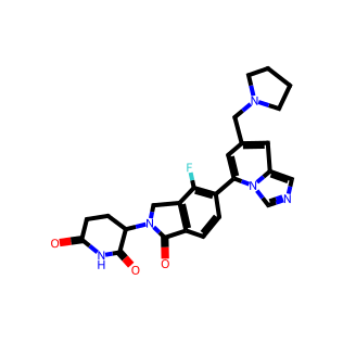 O=C1CCC(N2Cc3c(ccc(-c4cc(CN5CCCC5)cc5cncn45)c3F)C2=O)C(=O)N1